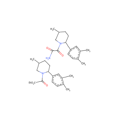 CCOC(=O)C(=O)N1CC(C)CCC1c1ccc(C)c(C)c1.Cc1ccc(C2CCC(C)CN2C(=O)C(N)=O)cc1C